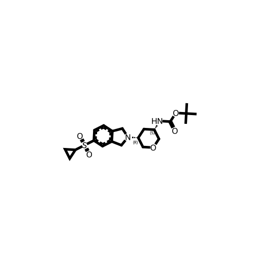 CC(C)(C)OC(=O)N[C@@H]1COC[C@H](N2Cc3ccc(S(=O)(=O)C4CC4)cc3C2)C1